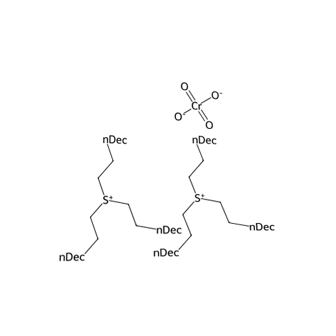 CCCCCCCCCCCC[S+](CCCCCCCCCCCC)CCCCCCCCCCCC.CCCCCCCCCCCC[S+](CCCCCCCCCCCC)CCCCCCCCCCCC.[O]=[Cr](=[O])([O-])[O-]